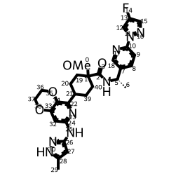 COC1(C(=O)N[C@@H](C)c2ccc(-n3cc(F)cn3)nc2)CCC(c2nc(Nc3cc(C)[nH]n3)cc3c2OCCO3)CC1